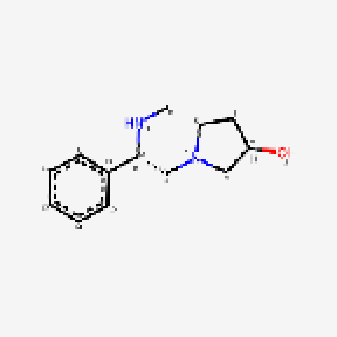 CN[C@H](CN1CC[C@@H](O)C1)c1ccccc1